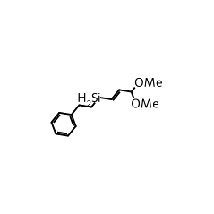 COC(C=C[SiH2]CCc1ccccc1)OC